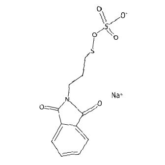 O=C1c2ccccc2C(=O)N1CCCSOS(=O)(=O)[O-].[Na+]